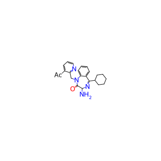 CC(=O)c1cccnc1CN1C(=O)C(N)N=C(C2CCCCC2)c2ccccc21